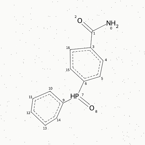 NC(=O)c1ccc([PH](=O)c2ccccc2)cc1